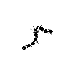 CCC(CC)(CCC(C)CN1C(=O)c2ccc(Oc3ccc(C(C)(C)c4ccccc4)cc3)cc2C1=O)N1C(=O)c2ccc(Oc3ccc(C(C)(C)c4ccc(Oc5ccc6c(c5)C(=O)N(C5CCCCC5)C6=O)cc4)cc3)cc2C1=O